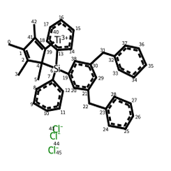 CC1=C(C)C(C)([Si](c2ccccc2)(c2ccccc2)c2cc(Cc3ccccc3)cc(Cc3ccccc3)c2)[C]([Ti+3])=C1C.[Cl-].[Cl-].[Cl-]